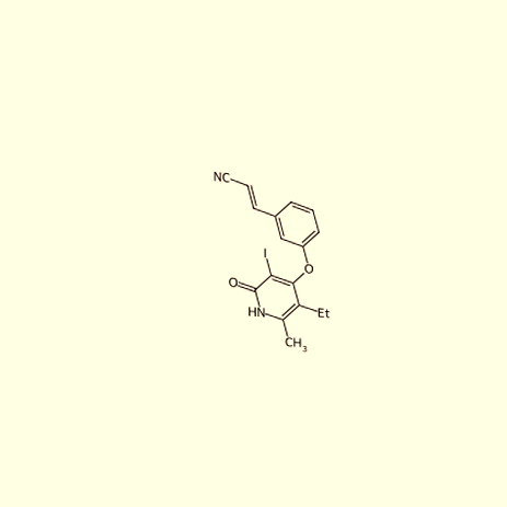 CCc1c(C)[nH]c(=O)c(I)c1Oc1cccc(/C=C/C#N)c1